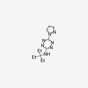 CCC(CC)(CC)Nc1nnc(-n2cccn2)nn1